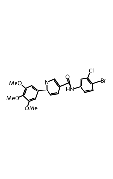 COc1cc(-c2ccc(C(=O)Nc3ccc(Br)c(Cl)c3)cn2)cc(OC)c1OC